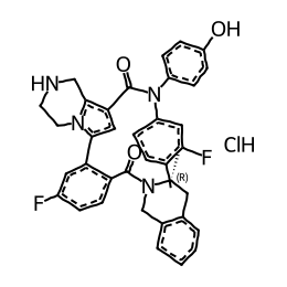 Cc1ccc(N(C(=O)c2cc(-c3cc(F)ccc3C(=O)N3Cc4ccccc4C[C@H]3C)n3c2CNCC3)c2ccc(O)cc2)cc1F.Cl